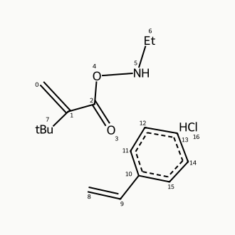 C=C(C(=O)ONCC)C(C)(C)C.C=Cc1ccccc1.Cl